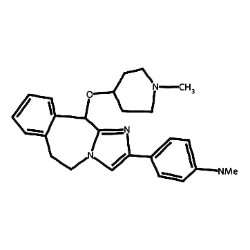 CNc1ccc(-c2cn3c(n2)C(OC2CCN(C)CC2)c2ccccc2CC3)cc1